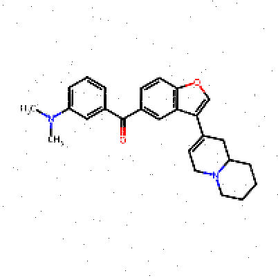 CN(C)c1cccc(C(=O)c2ccc3occ(C4=CCN5CCCCC5C4)c3c2)c1